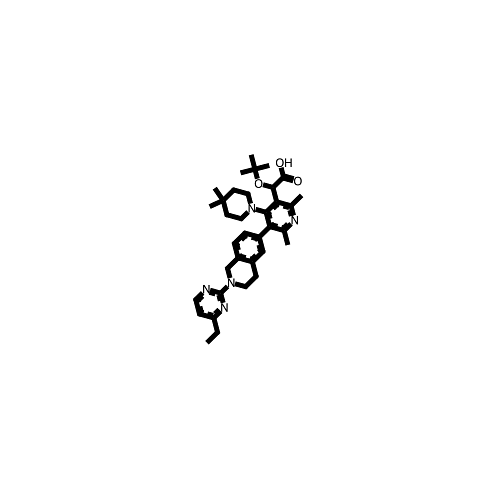 CCc1ccnc(N2CCc3cc(-c4c(C)nc(C)c(C(OC(C)(C)C)C(=O)O)c4N4CCC(C)(C)CC4)ccc3C2)n1